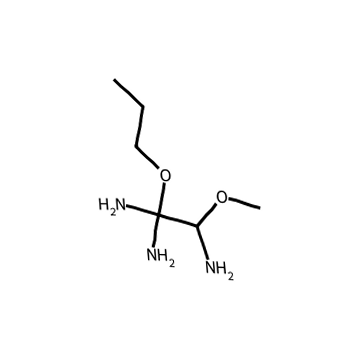 CCCOC(N)(N)C(N)OC